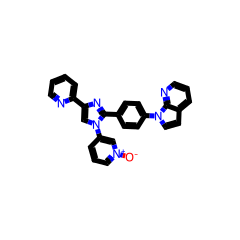 [O-][n+]1cccc(-n2cc(-c3ccccn3)nc2-c2ccc(-n3ccc4cccnc43)cc2)c1